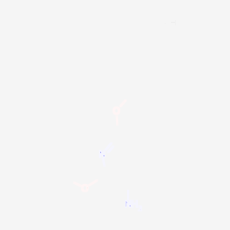 COc1nc(OCCCC(C)C)ccc1N